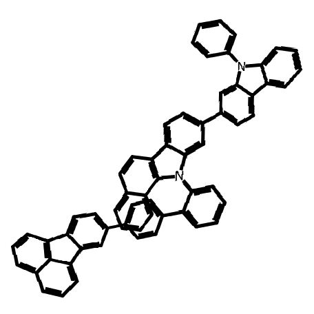 c1ccc(-n2c3ccccc3c3ccc(-c4ccc5c6ccc7ccccc7c6n(-c6ccccc6-c6ccc(-c7ccc8c(c7)-c7cccc9cccc-8c79)cc6)c5c4)cc32)cc1